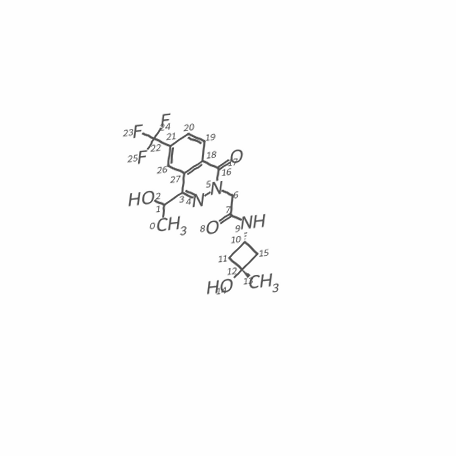 CC(O)c1nn(CC(=O)N[C@H]2C[C@@](C)(O)C2)c(=O)c2ccc(C(F)(F)F)cc12